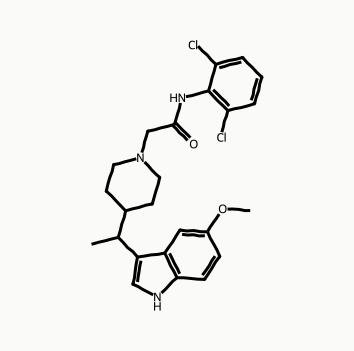 COc1ccc2[nH]cc(C(C)C3CCN(CC(=O)Nc4c(Cl)cccc4Cl)CC3)c2c1